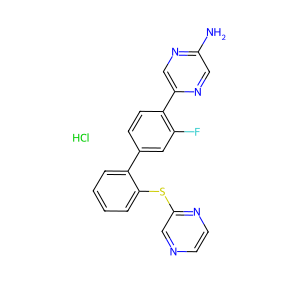 Cl.Nc1cnc(-c2ccc(-c3ccccc3Sc3cnccn3)cc2F)cn1